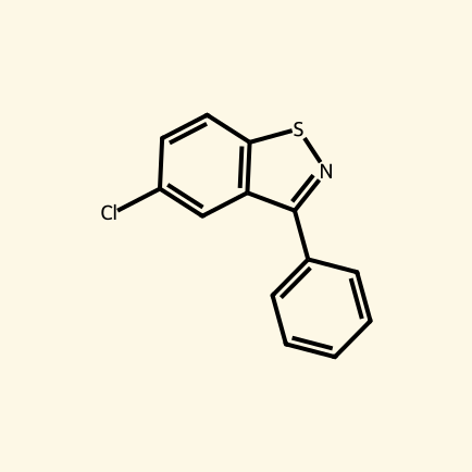 Clc1ccc2snc(-c3ccccc3)c2c1